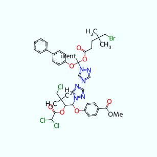 CCCC(C)C(OC(=O)CCC(C)(C)CBr)(Oc1ccc(-c2ccccc2)cc1)n1cncn1.COC(=O)c1ccc(OC(C(OC(=O)C(Cl)Cl)C(C)(C)CCl)n2cncn2)cc1